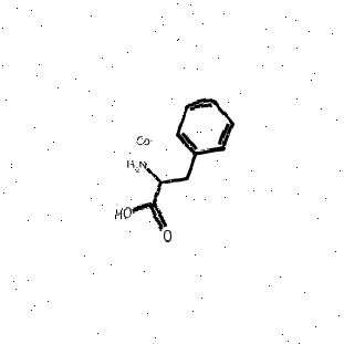 NC(Cc1ccccc1)C(=O)O.[Co]